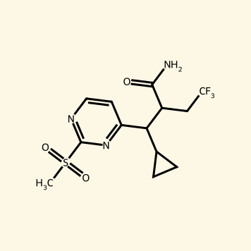 CS(=O)(=O)c1nccc(C(C2CC2)C(CC(F)(F)F)C(N)=O)n1